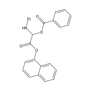 CCNC(OC(=O)c1ccccc1)C(=O)Oc1cccc2ccccc12